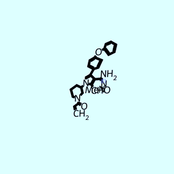 C=CC(=O)N1CCCC(n2cc(-c3ccc(Oc4ccccc4)cc3)c(/C(N)=N\NC)c2C=O)C1